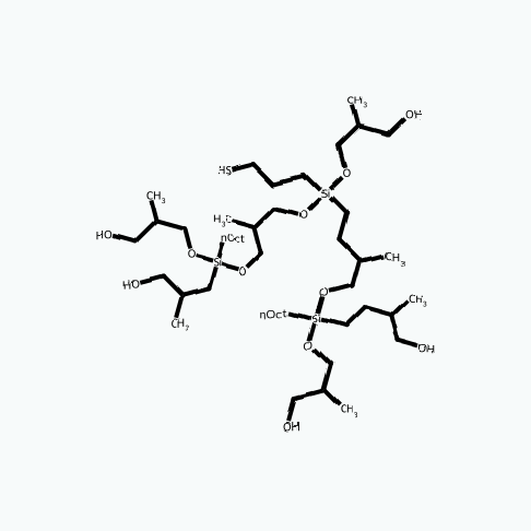 CCCCCCCC[Si](CCC(C)CO)(OCC(C)CO)OCC(C)CC[Si](CCCS)(OCC(C)CO)OCC(C)CO[Si](CCCCCCCC)(CC(C)CO)OCC(C)CO